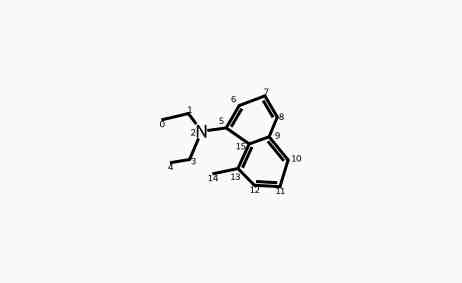 CCN(CC)c1cccc2cccc(C)c12